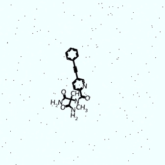 CN(C(=O)c1ccc(C#Cc2ccccc2)cn1)C(C)(C(N)=O)C(N)=O